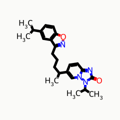 CC(C)c1ccc2onc(CCCC(C)c3ccc4nc(=O)n(C(C)C)n4c3)c2c1